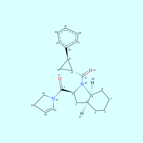 O=C([C@@H]1C[C@@H]2CCCC[C@@H]2N1C(=O)[C@@H]1C[C@H]1c1ccccc1)N1C=CCC1